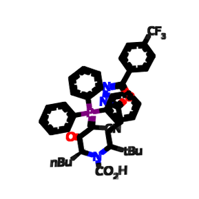 CCCC[C@@H](C(=O)C(C#N)=P(c1ccccc1)(c1ccccc1)c1ccccc1)N(C(=O)O)C(CCc1nnc(-c2ccc(C(F)(F)F)cc2)o1)C(C)(C)C